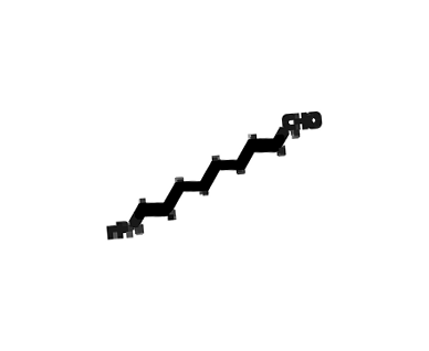 CCCC=CCCCCC=CC=O